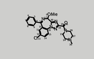 COC1N=C(c2ccccc2)c2cc(Cl)ccc2-n2nc(C(=O)N3CCN(C)CC3)nc21